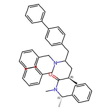 C[C@H](CC(Cc1ccc(-c2ccccc2)cc1)N(Cc1ccccc1)Cc1ccccc1)C(=O)N(C)[C@@H](C)c1ccccc1